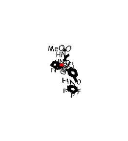 COC(=O)NC(C)C(=O)NC[C@@]1(O)C2CC[C@H]1C[C@H](S(=O)(=O)c1cc(C(=O)Nc3cc(F)c(F)c(F)c3)ccc1Cl)C2